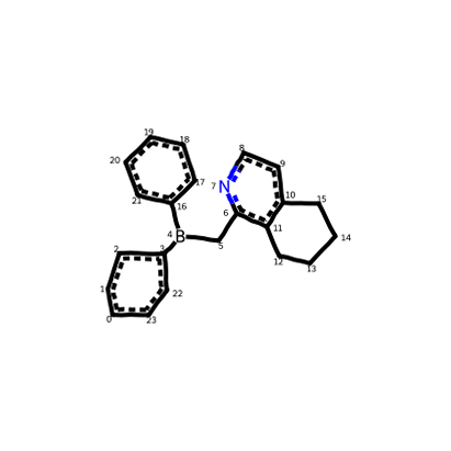 c1ccc(B(Cc2nccc3c2CCCC3)c2ccccc2)cc1